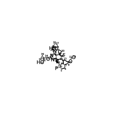 C#Cc1c(F)ccc2cc(OC=O)cc(-c3c(F)c(OC)c4c(N5CC6CCC(C5)N6)nc(OCC5(CO)CC5)nc4c3F)c12